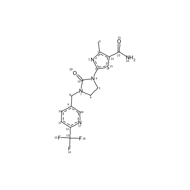 Cc1nc(N2CCN(Cc3ccc(C(F)(F)F)nc3)C2=O)sc1C(N)=O